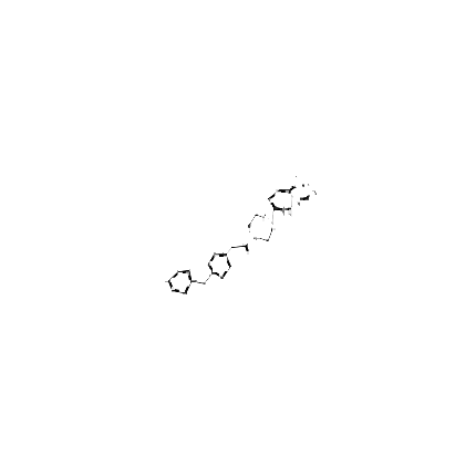 O=C(Cc1ccc(Cc2ccccc2)cc1)N1CCN(c2ccc3nncn3n2)CC1